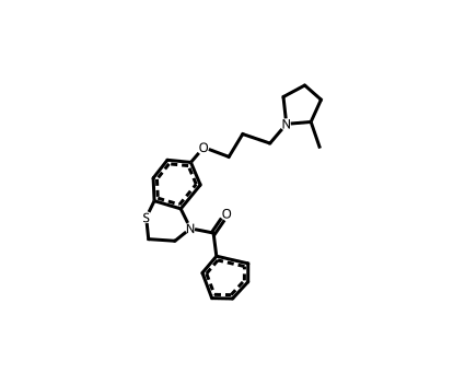 CC1CCCN1CCCOc1ccc2c(c1)N(C(=O)c1ccccc1)CCS2